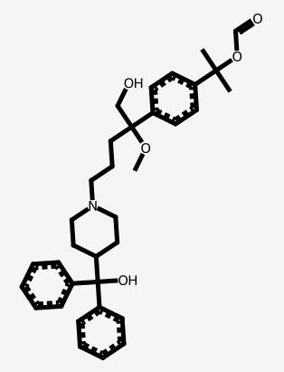 COC(CO)(CCCN1CCC(C(O)(c2ccccc2)c2ccccc2)CC1)c1ccc(C(C)(C)OC=O)cc1